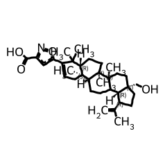 C=C(C)[C@@H]1CC[C@]2(CO)CC[C@]3(C)C(CC[C@@H]4[C@@]5(C)CC=C(c6cc(C(=O)O)no6)C(C)(C)[C@@H]5CC[C@]43C)[C@@H]12